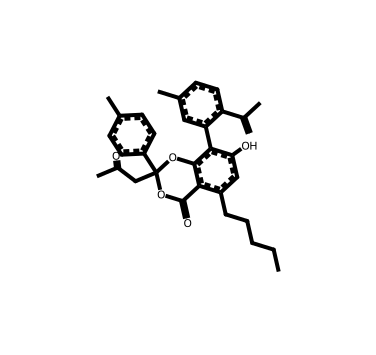 C=C(C)c1ccc(C)cc1-c1c(O)cc(CCCCC)c2c1OC(CC(C)=O)(c1ccc(C)cc1)OC2=O